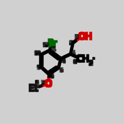 [CH2]C(CO)c1cc(OCC)ccc1Br